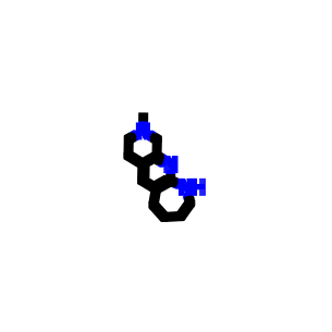 CN1CCc2cc3c(nc2C1)NCCCC3